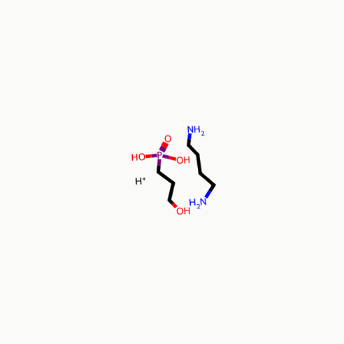 NCCCCN.O=P(O)(O)CCCO.[H+]